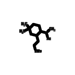 BC1(C)CCC(N(C)C(C)=O)C(CCSC)C1